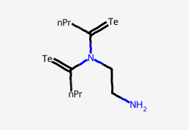 CCCC(=[Te])N(CCN)C(=[Te])CCC